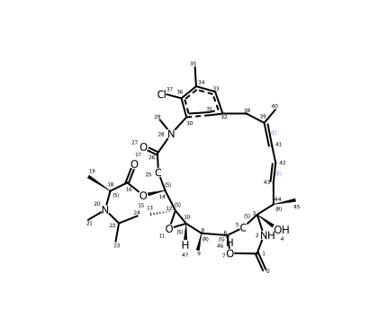 C=C1N[C@]2(O)C[C@H](O1)[C@@H](C)[C@@H]1O[C@@]1(C)[C@@H](OC(=O)[C@H](C)N(C)C(C)C)CC(=O)N(C)c1cc(cc(C)c1Cl)C/C(C)=C/C=C/[C@H]2C